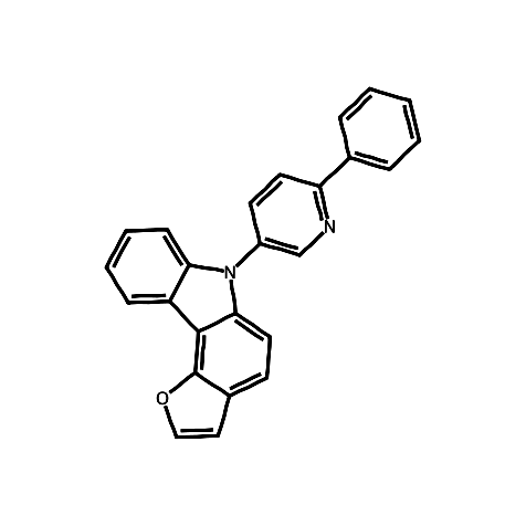 c1ccc(-c2ccc(-n3c4ccccc4c4c5occc5ccc43)cn2)cc1